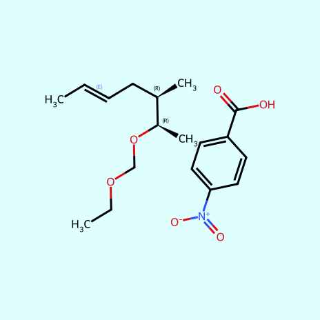 C/C=C/C[C@@H](C)[C@@H](C)OCOCC.O=C(O)c1ccc([N+](=O)[O-])cc1